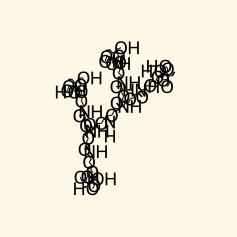 C=CC1C(CO)OC(OCCOCCNC(=O)CCOCC(COCCC(=O)NCCOCCOC2OC(CO)C(C=C)C(OO)C2O)NC(=O)CCOCC(COCCC(=O)NC(COCCC(=O)NCCOCCOC2OC(CO)C(C=C)C(OO)C2O)COCCC(=O)NCCOCCOC2OC(CO)C(C=C)C(OO)C2O)NC)C(O)C1OO